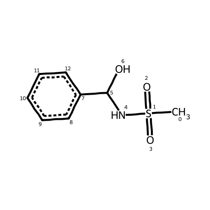 CS(=O)(=O)NC(O)c1ccccc1